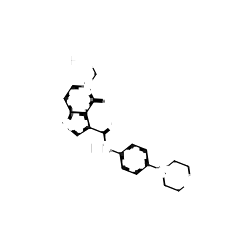 O=C(Nc1ccc(N2CCOCC2)cc1)c1c[nH]c2ccn(CC(F)(F)F)c(=O)c12